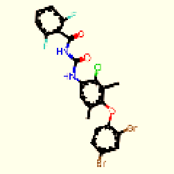 Cc1cc(NC(=O)NC(=O)c2c(F)cccc2F)c(Cl)c(C)c1Oc1ccc(Br)cc1Br